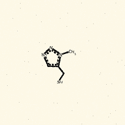 Cn1nncc1CS